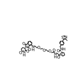 Cc1ncsc1-c1ccc(CNC(=O)[C@@H]2CCCN2C(=O)CNC(=O)COCCOCCOCCNc2cccc3c2C(=O)N(C2CCC(=O)NC2=O)C3=O)cc1